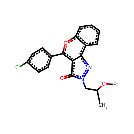 CCOC(C)Cn1nc2c3ccccc3oc(-c3ccc(Cl)cc3)c-2c1=O